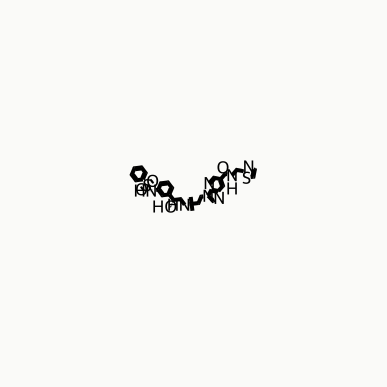 CC(C)(CCn1cnc2cc(C(=O)NCc3nccs3)cnc21)NC[C@H](O)c1cccc(NS(=O)(=O)c2ccccc2)c1